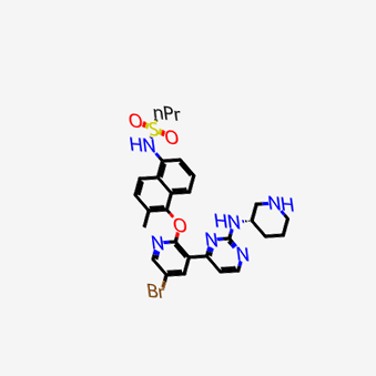 CCCS(=O)(=O)Nc1cccc2c(Oc3ncc(Br)cc3-c3ccnc(N[C@H]4CCCNC4)n3)c(C)ccc12